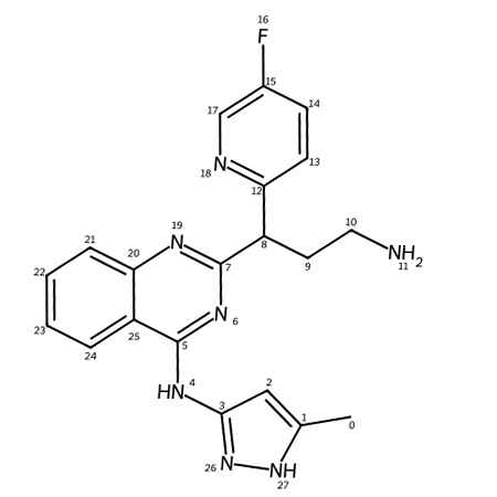 Cc1cc(Nc2nc(C(CCN)c3ccc(F)cn3)nc3ccccc23)n[nH]1